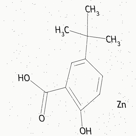 CC(C)(C)c1ccc(O)c(C(=O)O)c1.[Zn]